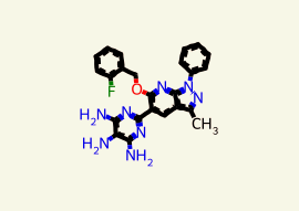 Cc1nn(-c2ccccc2)c2nc(OCc3ccccc3F)c(-c3nc(N)c(N)c(N)n3)cc12